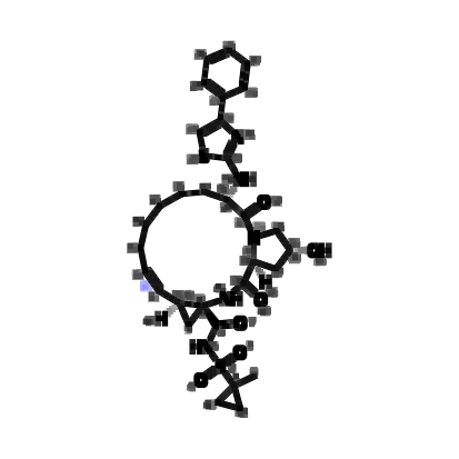 CC1(S(=O)(=O)NC(=O)[C@@]23C[C@H]2/C=C\CCCCC[C@H](Nc2nc(-c4ccccc4)cs2)C(=O)N2C[C@H](O)C[C@H]2C(=O)N3)CC1